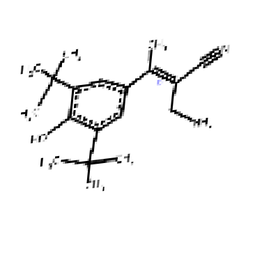 C/C(=C(\C#N)CN)c1cc(C(C)(C)C)c(O)c(C(C)(C)C)c1